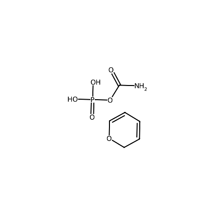 C1=CCOC=C1.NC(=O)OP(=O)(O)O